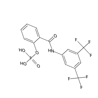 O=C(Nc1cc(C(F)(F)F)cc(C(F)(F)F)c1)c1ccccc1OP(=O)(O)O